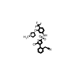 CN1CC[C@@H](Oc2cc(NS(=O)(=O)c3cc(-c4ccccc4CC#N)c(Cl)s3)ccc2C(F)(F)F)C1